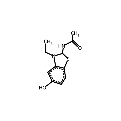 CCN1c2cc(O)ccc2SC1NC(C)=O